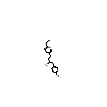 CC(C)Cc1ncc(CCC(C)Cc2ccc(C(F)(F)F)nc2)cn1